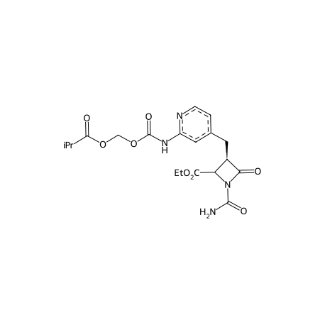 CCOC(=O)C1[C@@H](Cc2ccnc(NC(=O)OCOC(=O)C(C)C)c2)C(=O)N1C(N)=O